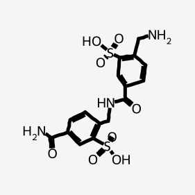 NCc1ccc(C(=O)NCc2ccc(C(N)=O)cc2S(=O)(=O)O)cc1S(=O)(=O)O